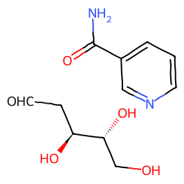 NC(=O)c1cccnc1.O=CC[C@H](O)[C@H](O)CO